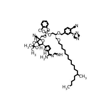 CCCCCC(C)CCCCCCCCCCCCOC[C@H](COP(=O)(OC[C@@]1(C#N)O[C@@H](c2ccc(/C(N)=N\C=N)[nH]2)[C@@H]2OC(C)(C)O[C@@H]21)Oc1ccccc1Cl)OCc1ccc(C#N)c(-n2cncn2)c1